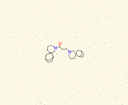 O=C(CCN1CCCC2(CC3CCC2C3)C1)N1CCCC2(CC3CCC2CC3)C1